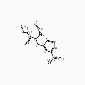 CCOC(=O)C(Cc1cccc([N+](=O)[O-])c1)N=C=O